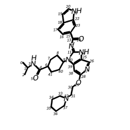 CC(C)NC(=O)C1CCC(n2/c(=N/C(=O)c3ccc4cc[nH]c4c3)[nH]c3cnc(OCCN4CCCCC4)cc32)CC1